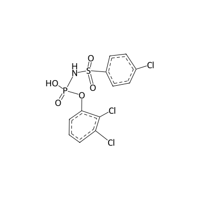 O=P(O)(NS(=O)(=O)c1ccc(Cl)cc1)Oc1cccc(Cl)c1Cl